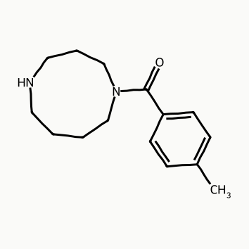 Cc1ccc(C(=O)N2CCCCNCCC2)cc1